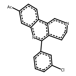 CC(=O)c1ccc2c(c1)nc(-c1cccc(Cl)c1)c1ccncc12